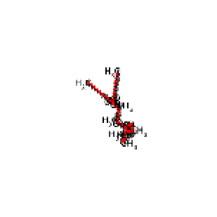 CCCCCCCCCCCCCCCC(=O)OCC(COC(=O)CCCCCCCCCCCCCCC)OC(=O)CC(C)CCCCCCCC(C)C(=O)OCCCC(=O)Oc1c(CC=C(C)CCC(=O)OC)c(OC)c(C)c2c1C(=O)OC2